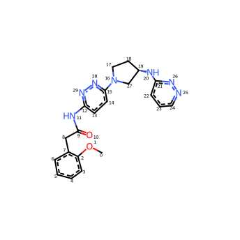 COc1ccccc1CC(=O)Nc1ccc(N2CC[C@@H](Nc3cccnn3)C2)nn1